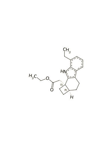 CCOC(=O)C[C@@]12CC[C@@H]1CCc1c2[nH]c2c(CC)cccc12